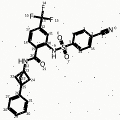 N#Cc1ccc(S(=O)(=O)Nc2cc(C(F)(F)F)ccc2C(=O)NC23CC(c4ccccc4)(C2)C3)cc1